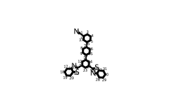 N#Cc1cccc(-c2ccc(-c3cc(-c4nc5ccccc5s4)cc(-c4nc5ccccc5s4)c3)cc2)c1